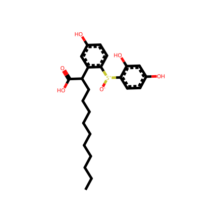 CCCCCCCCCCC(C(=O)O)c1cc(O)ccc1[S+]([O-])c1ccc(O)cc1O